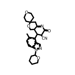 Cc1ccc2c(cnn2C2CCCCO2)c1C1C(C#N)C(=O)N=C2CC3(CCOCC3)OCC21